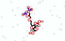 O=C(O)O[C@@H]1C(CCOCC(CO[N+](=O)[O-])O[N+](=O)[O-])O[C@H]2[C@H]1OC[C@H]2O